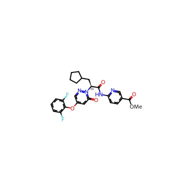 COC(=O)c1ccc(NC(=O)[C@H](CC2CCCC2)n2ncc(Oc3c(F)cccc3F)cc2=O)nc1